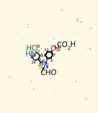 Cl.O=CC1=NN(c2ccc(OCC(=O)O)cc2)C(C2CCNCC2)S1